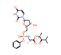 CC(C)C(=O)[C@H](C)OC(=O)[C@H](C)NP(=O)(OC[C@H]1O[C@@H](n2ccc(=O)[nH]c2=O)C[C@@H]1O)Oc1ccccc1